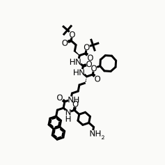 CC(C)(C)OC(=O)CC[C@H](NC(=O)N[C@@H](CCCCNC(=O)C(Cc1ccc2ccccc2c1)NC(=O)C1CCC(CN)CC1)C(=O)OC1CCCCCCC1)C(=O)OC(C)(C)C